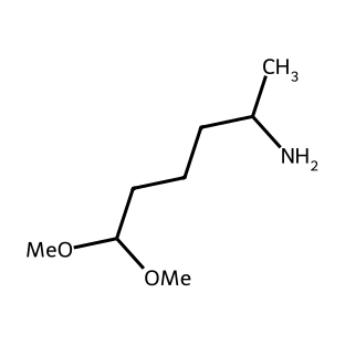 COC(CCCC(C)N)OC